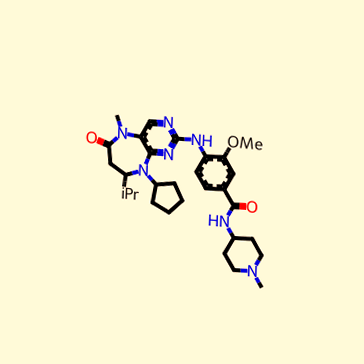 COc1cc(C(=O)NC2CCN(C)CC2)ccc1Nc1ncc2c(n1)N(C1CCCC1)C(C(C)C)CC(=O)N2C